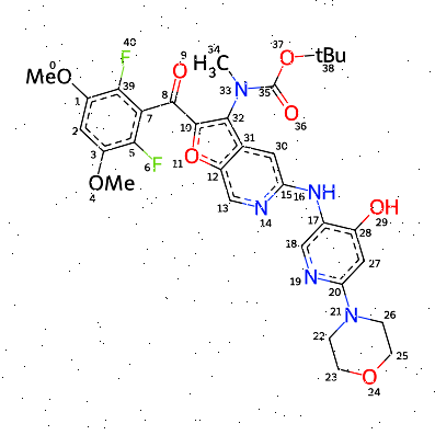 COc1cc(OC)c(F)c(C(=O)c2oc3cnc(Nc4cnc(N5CCOCC5)cc4O)cc3c2N(C)C(=O)OC(C)(C)C)c1F